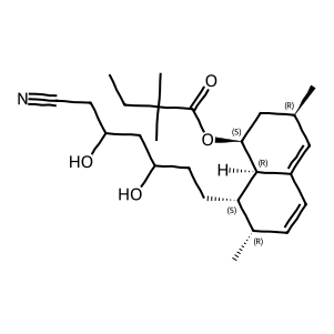 CCC(C)(C)C(=O)O[C@H]1C[C@@H](C)C=C2C=C[C@H](C)[C@H](CCC(O)CC(O)CC#N)[C@H]21